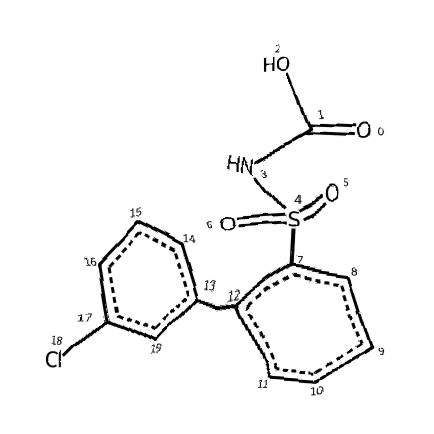 O=C(O)NS(=O)(=O)c1ccccc1-c1cccc(Cl)c1